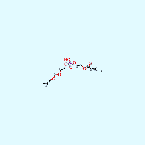 C=COCOCCOP(=O)(O)OCCOC(=O)C=C